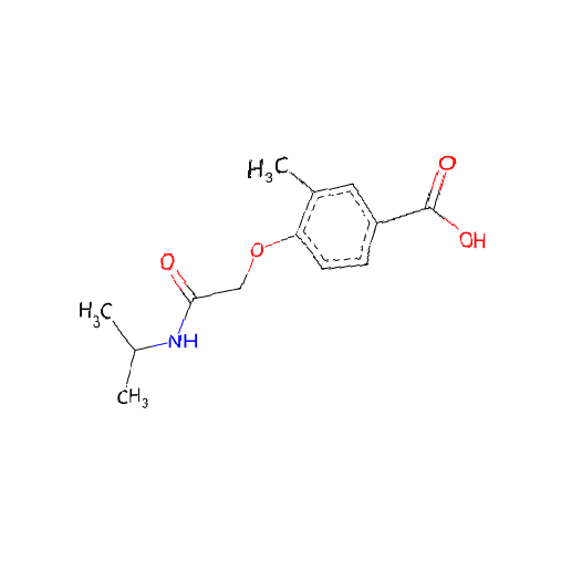 Cc1cc(C(=O)O)ccc1OCC(=O)NC(C)C